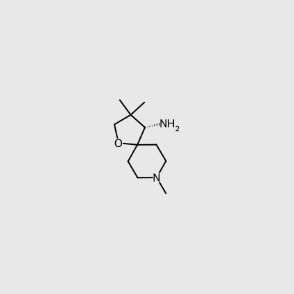 CN1CCC2(CC1)OCC(C)(C)[C@@H]2N